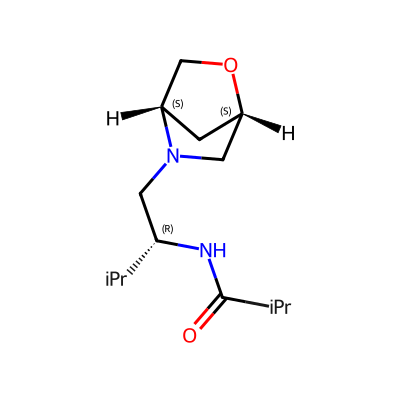 CC(C)C(=O)N[C@@H](CN1C[C@@H]2C[C@H]1CO2)C(C)C